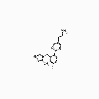 Cc1n[nH]cc1Cc1cc(F)ccc1-c1ncc(CCN)cn1